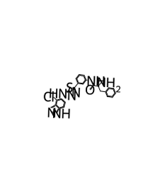 N[C@@H](Cc1ccccc1)C(=O)Nc1cccc(-c2nnc(Nc3ccc4[nH]ncc4c3Cl)s2)c1